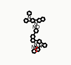 c1ccc(-n2c3ccccc3c3cc4c(cc32)c2cc3ccccc3cc2n4-c2nc3cc(-c4ccc5ccc6c(c5c4)c4ccc5c7ccccc7n(-c7ccccc7)c5c4n6-c4nc5ccccc5o4)ccc3o2)cc1